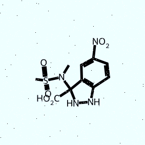 CN(C1(C(=O)O)NNc2ccc([N+](=O)[O-])cc21)S(C)(=O)=O